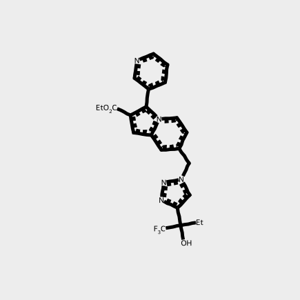 CCOC(=O)c1cc2cc(Cn3cc(C(O)(CC)C(F)(F)F)nn3)ccn2c1-c1cccnc1